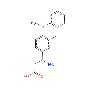 COc1ccccc1Cc1cccc(C(N)CC(=O)O)c1